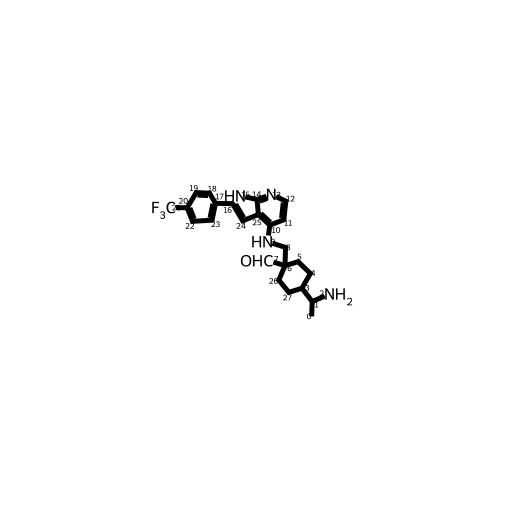 CC(N)C1CCC(C=O)(CNc2ccnc3[nH]c(-c4ccc(C(F)(F)F)cc4)cc23)CC1